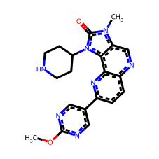 COc1ncc(-c2ccc3ncc4c(c3n2)n(C2CCNCC2)c(=O)n4C)cn1